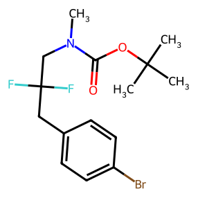 CN(CC(F)(F)Cc1ccc(Br)cc1)C(=O)OC(C)(C)C